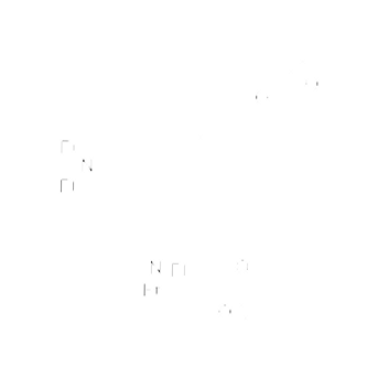 CCN(CC)c1cccc(C(=CC=C(c2ccc(COCC3CO3)cc2)c2ccc(COCC3CO3)cc2)c2cccc(N(CC)CC)c2)c1